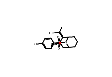 C/C(N)=C1/C(=N)CC2CCCC1N2S(=O)(=O)c1ccc(Cl)cc1